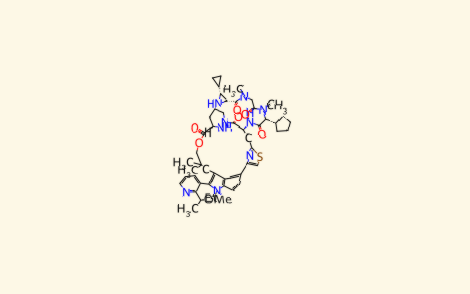 CCn1c(-c2cccnc2[C@H](C)OC)c2c3cc(ccc31)-c1csc(n1)C[C@H](NC(=O)C(C1CCCC1)N(C)C(=O)CN(C)C(=O)[C@@H]1N[C@@H]1C1CC1)C(=O)N1CCC[C@H](N1)C(=O)OCC(C)(C)C2